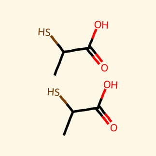 CC(S)C(=O)O.CC(S)C(=O)O